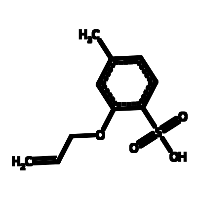 C=CCOc1cc(C)ccc1S(=O)(=O)O